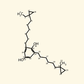 CCC1(CCCCCCc2cc(O)cc(CCCCCCC3(C)CC3)c2O)CC1